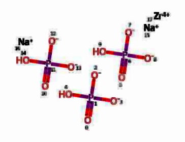 O=P([O-])([O-])O.O=P([O-])([O-])O.O=P([O-])([O-])O.[Na+].[Na+].[Zr+4]